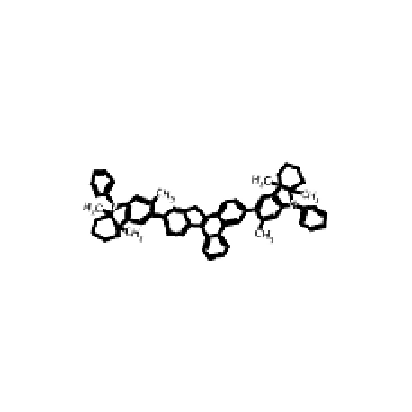 Cc1cc2c(cc1-c1ccc3c(c1)Cc1c-3c3ccccc3c3cc(-c4cc5c(cc4C)N(c4ccccc4)C4(C)CCCCC54C)ccc13)C1(C)CCCCC1(C)N2c1ccccc1